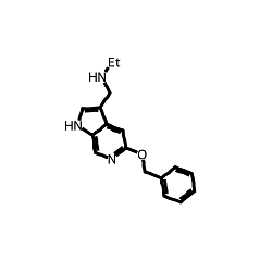 CCNCc1c[nH]c2cnc(OCc3ccccc3)cc12